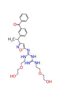 CC(c1cccc(C(=O)c2ccccc2)c1)c1cc(/N=C(\NCCOCCO)NC(=N)NCCOCCO)on1